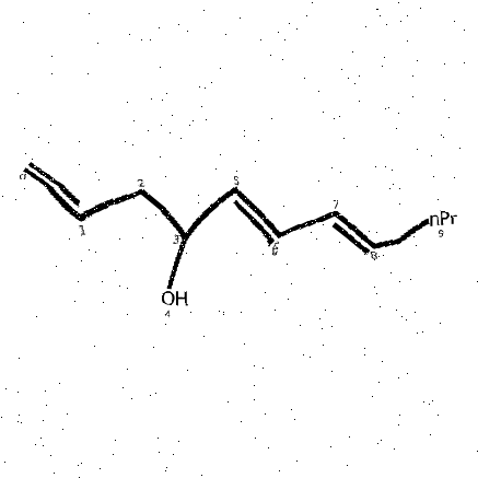 C=CCC(O)/C=C/C=C/CCC